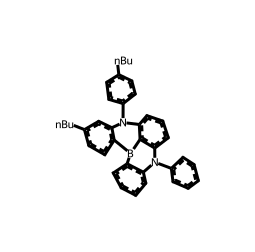 CCCCc1ccc(N2c3cc(CCCC)ccc3B3c4ccccc4N(c4ccccc4)c4cccc2c43)cc1